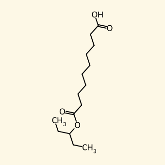 CCC(CC)OC(=O)CCCCCCCCC(=O)O